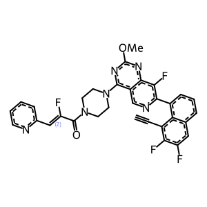 C#Cc1c(F)c(F)cc2cccc(-c3ncc4c(N5CCN(C(=O)/C(F)=C/c6ccccn6)CC5)nc(OC)nc4c3F)c12